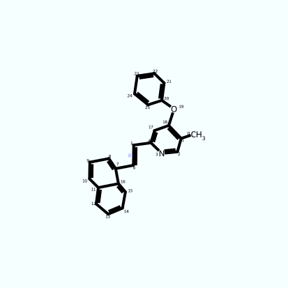 Cc1cnc(/C=C/c2cccc3ccccc23)cc1Oc1ccccc1